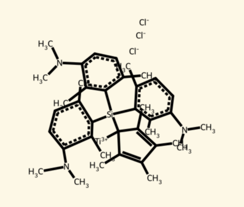 CC1=C(C)[C]([Ti+3])([Si](c2c(C)ccc(N(C)C)c2C)(c2c(C)ccc(N(C)C)c2C)c2c(C)ccc(N(C)C)c2C)C(C)=C1C.[Cl-].[Cl-].[Cl-]